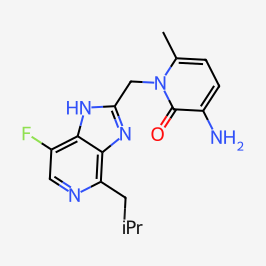 Cc1ccc(N)c(=O)n1Cc1nc2c(CC(C)C)ncc(F)c2[nH]1